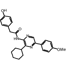 COc1ccc(-c2cnc(NC(=O)Cc3ccc(O)cc3)c(C3CCCCC3)n2)cc1